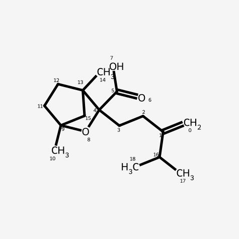 C=C(CCC1(C(=O)O)OC2(C)CCC1(C)C2)C(C)C